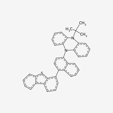 CC(C)(C)N1c2ccccc2N(c2ccc(-c3cccc4c3sc3ccccc34)c3ccccc23)c2ccccc21